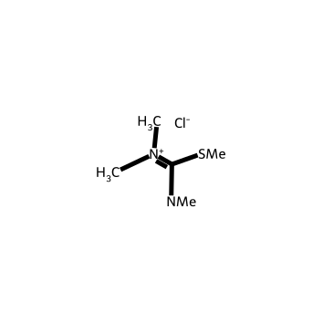 CNC(SC)=[N+](C)C.[Cl-]